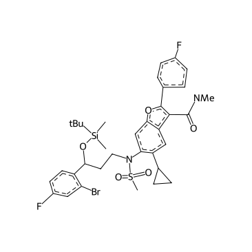 CNC(=O)c1c(-c2ccc(F)cc2)oc2cc(N(CCC(O[Si](C)(C)C(C)(C)C)c3ccc(F)cc3Br)S(C)(=O)=O)c(C3CC3)cc12